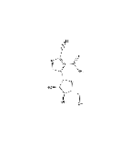 C#Cc1ncn([C@@H]2O[C@H](CO)[C@@H](O)[C@H]2O)c1C(N)=O